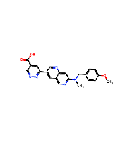 COc1ccc(CN(C)c2cc3ncc(-c4cc(C(=O)O)cnn4)cc3cn2)cc1